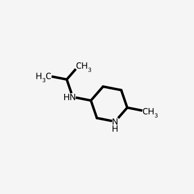 CC(C)NC1CCC(C)NC1